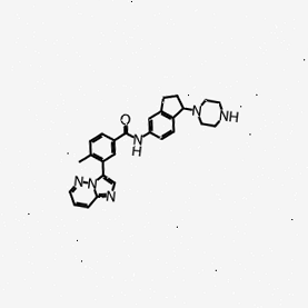 Cc1ccc(C(=O)Nc2ccc3c(c2)CCC3N2CCNCC2)cc1-c1cnc2cccnn12